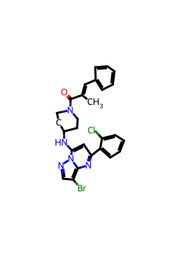 C/C(=C\c1ccccc1)C(=O)N1CCC(Nc2cc(-c3ccccc3Cl)nc3c(Br)cnn23)CC1